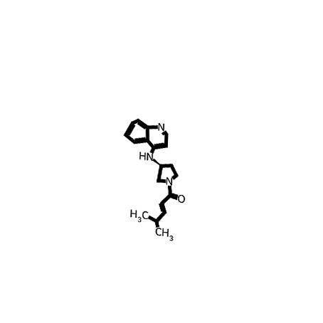 CC(C)/C=C/C(=O)N1CC[C@H](Nc2ccnc3ccccc23)C1